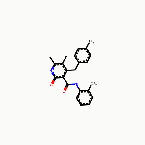 CC(=O)Oc1ccccc1NC(=O)c1c(Cc2ccc(C(F)(F)F)cc2)c(C)c(C)[nH]c1=O